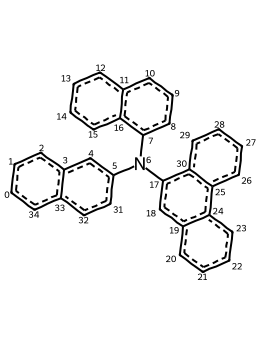 c1ccc2cc(N(c3cccc4ccccc34)c3cc4ccccc4c4ccccc34)ccc2c1